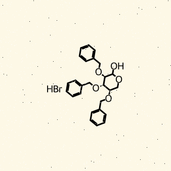 Br.OC1OC[C@@H](OCc2ccccc2)[C@H](OCc2ccccc2)[C@H]1OCc1ccccc1